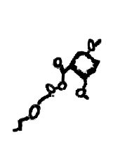 CCCOC[CH]OOC(=O)c1cc(OC)ccc1OC